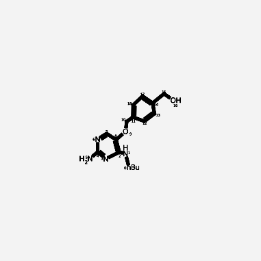 CCCCNc1nc(N)ncc1OCc1ccc(CO)cc1